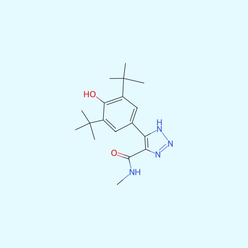 CNC(=O)c1nn[nH]c1-c1cc(C(C)(C)C)c(O)c(C(C)(C)C)c1